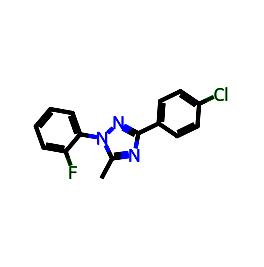 Cc1nc(-c2ccc(Cl)cc2)nn1-c1ccccc1F